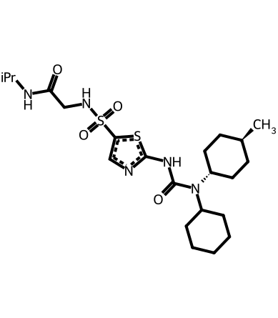 CC(C)NC(=O)CNS(=O)(=O)c1cnc(NC(=O)N(C2CCCCC2)[C@H]2CC[C@H](C)CC2)s1